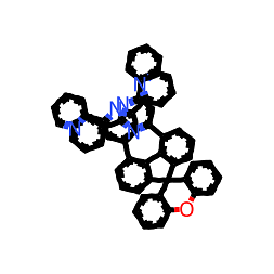 c1ccc(-c2cc(-c3cccc4c3-c3c(-c5cc(-c6ccccn6)nc(-c6ccccn6)c5)cccc3C43c4ccccc4Oc4ccccc43)nc(-c3ccccc3)n2)cc1